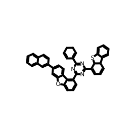 C1=CC2c3ccccc3SC2C(c2nc(C3=CCCC=C3)nc(-c3cccc4oc5cc(-c6ccc7ccccc7c6)ccc5c34)n2)=C1